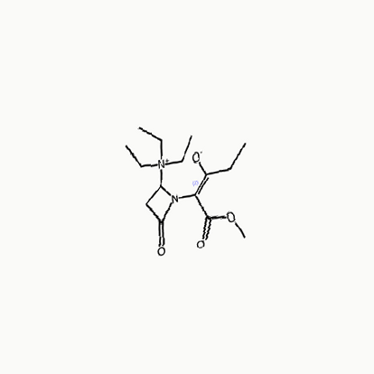 CC/C([O-])=C(\C(=O)OC)N1C(=O)CC1[N+](CC)(CC)CC